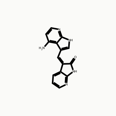 Nc1ccnc2[nH]cc(C=C3C(=O)Nc4ncccc43)c12